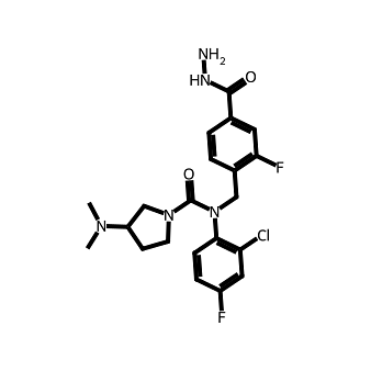 CN(C)C1CCN(C(=O)N(Cc2ccc(C(=O)NN)cc2F)c2ccc(F)cc2Cl)C1